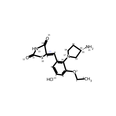 CCOc1cccc(/C=C2\SC(=O)NC2=O)c1N1CC[C@H](N)C1.Cl